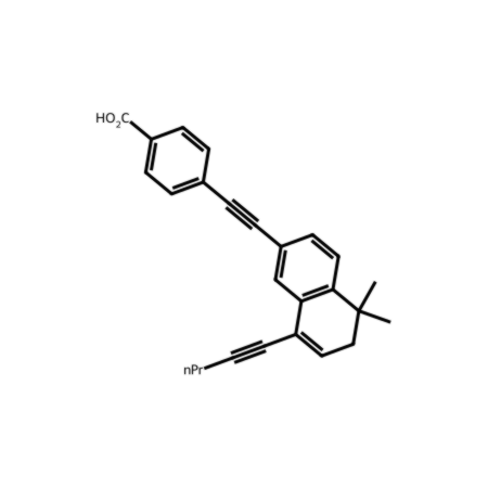 CCCC#CC1=CCC(C)(C)c2ccc(C#Cc3ccc(C(=O)O)cc3)cc21